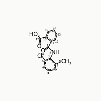 Cc1cccc(Cl)c1NC(=O)c1ccccc1C(=O)O